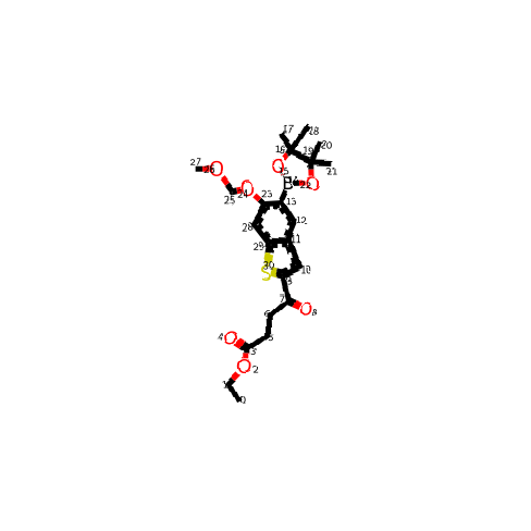 CCOC(=O)CCC(=O)c1cc2cc(B3OC(C)(C)C(C)(C)O3)c(OCOC)cc2s1